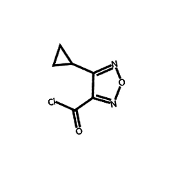 O=C(Cl)c1nonc1C1CC1